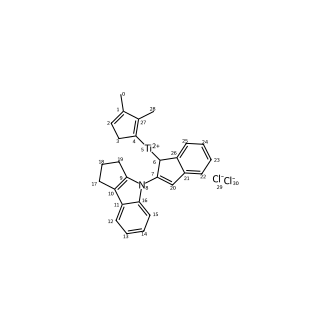 CC1=CC[C]([Ti+2][CH]2C(n3c4c(c5ccccc53)CCC4)=Cc3ccccc32)=C1C.[Cl-].[Cl-]